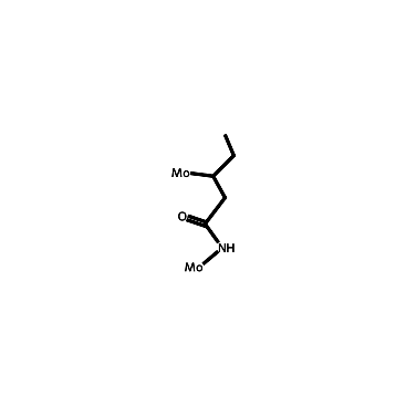 CC[CH]([Mo])CC(=O)[NH][Mo]